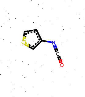 O=C=Nc1ccsc1